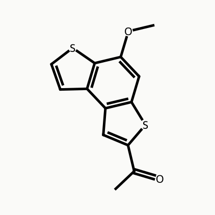 COc1cc2sc(C(C)=O)cc2c2ccsc12